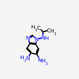 CC(C)Nn1cnc2cc(N)c(N)cc21